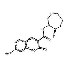 COc1ccc2cc(C(=O)ON3COCCCC3=O)c(=O)oc2c1